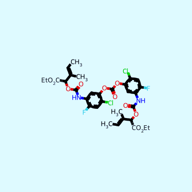 C/C=C(\C)C(OC(=O)Nc1cc(OC(=O)Oc2cc(NC(=O)OC(C(=O)OCC)/C(C)=C/C)c(F)cc2Cl)c(Cl)cc1F)C(=O)OCC